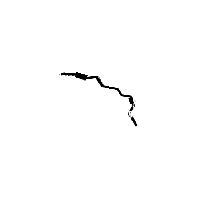 [CH2]C#CCCCC/C=N\OC